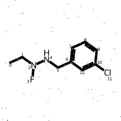 CCN(F)NCc1cccc(Cl)c1